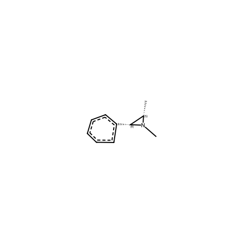 C[C@H]1[C@@H](c2ccccc2)N1C